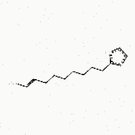 CCCCCCCCC=CCCCCCCCc1ncc[nH]1